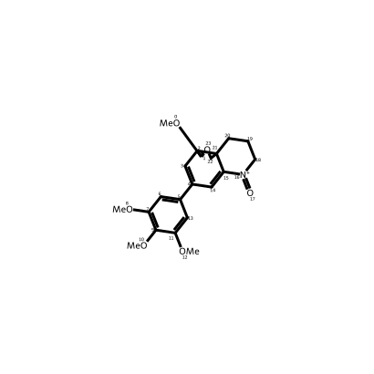 COC1=C2C=C(c3cc(OC)c(OC)c(OC)c3)C=C3[N+](=O)CCCC32CO1